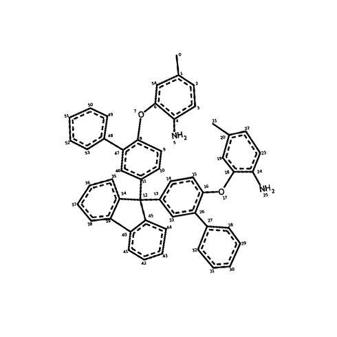 Cc1ccc(N)c(Oc2ccc(C3(c4ccc(Oc5cc(C)ccc5N)c(-c5ccccc5)c4)c4ccccc4-c4ccccc43)cc2-c2ccccc2)c1